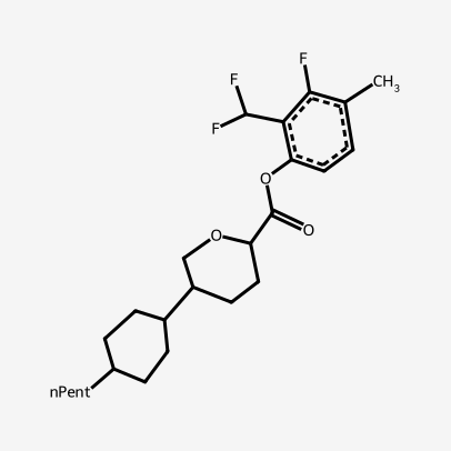 CCCCCC1CCC(C2CCC(C(=O)Oc3ccc(C)c(F)c3C(F)F)OC2)CC1